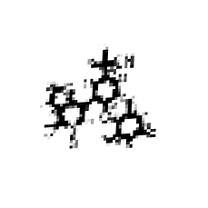 Cc1cc(F)cc(C)c1Oc1ccc(C(C)(C)C#N)cc1-c1cn(C)c(=O)c2ccsc12